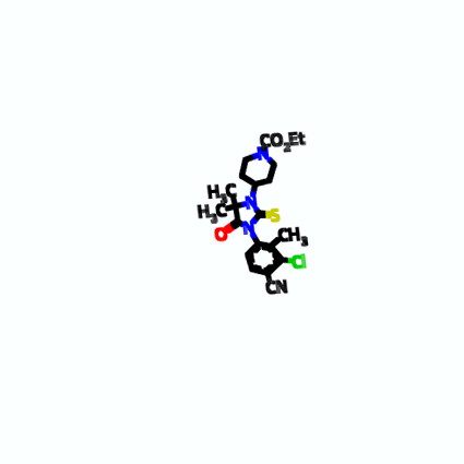 CCOC(=O)N1CCC(N2C(=S)N(c3ccc(C#N)c(Cl)c3C)C(=O)C2(C)C)CC1